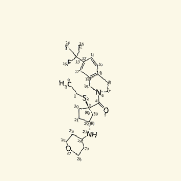 CCS[C@]1(C(=O)N2CCc3ccc(C(F)(F)F)cc3C2)CC[C@@H](NC2CCOCC2)C1